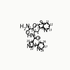 NC(=O)C(=O)C(Cc1csc2cccnc12)NC(=O)c1cncn1-c1ccccn1